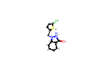 O=c1[nH]n(Cc2ccc(Cl)s2)c2ccccc12